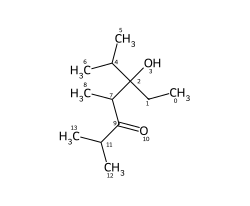 CCC(O)(C(C)C)C(C)C(=O)C(C)C